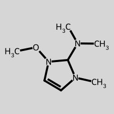 CON1C=CN(C)C1N(C)C